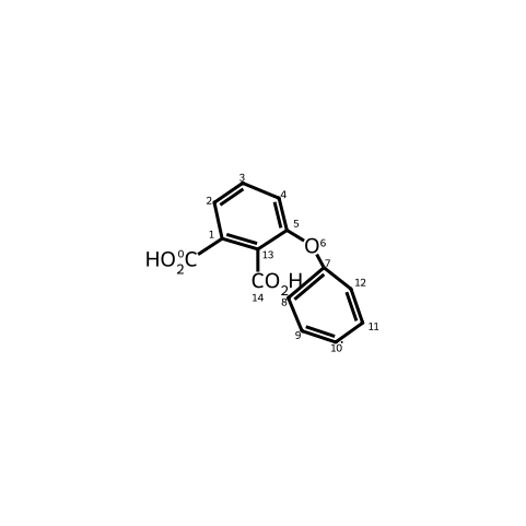 O=C(O)c1cccc(Oc2cc[c]cc2)c1C(=O)O